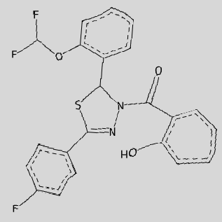 O=C(c1ccccc1O)N1N=C(c2ccc(F)cc2)SC1c1ccccc1OC(F)F